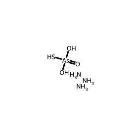 N.N.N.O=[As](O)(O)S